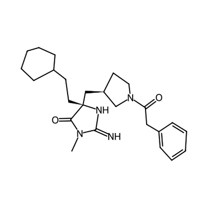 CN1C(=N)N[C@@](CCC2CCCCC2)(C[C@H]2CCN(C(=O)Cc3ccccc3)C2)C1=O